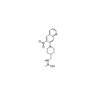 CB(O)NCC1CCN(c2cc3ncccc3cc2[N+](=O)[O-])CC1